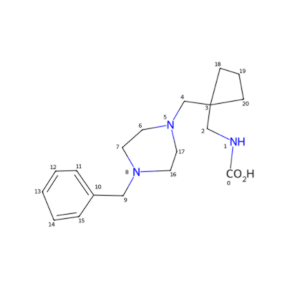 O=C(O)NCC1(CN2CCN(Cc3ccccc3)CC2)CCC1